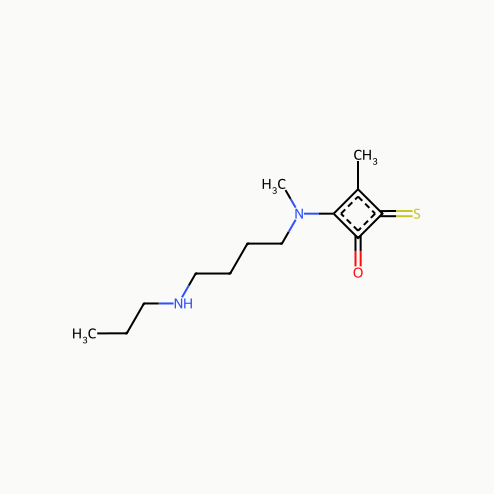 CCCNCCCCN(C)c1c(C)c(=S)c1=O